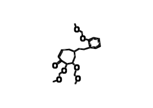 COCOc1ccccc1CCC1C/C=C\C(=O)C(OCOC)C(OCOC)C1